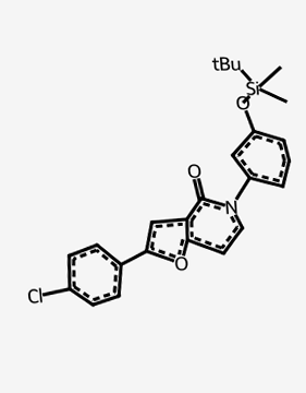 CC(C)(C)[Si](C)(C)Oc1cccc(-n2ccc3oc(-c4ccc(Cl)cc4)cc3c2=O)c1